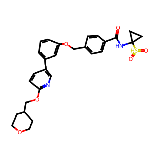 O=C(NC1([SH](=O)=O)CC1)c1ccc(COc2cccc(-c3ccc(OCC4CCOCC4)nc3)c2)cc1